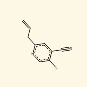 C=CCc1cc(C#N)c(F)cn1